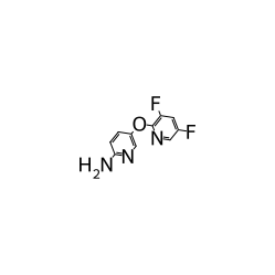 Nc1ccc(Oc2ncc(F)cc2F)cn1